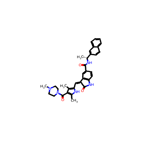 Cc1[nH]c(C=C2C(=O)Nc3ccc(C(=O)N[C@H](C)c4ccc5ccccc5c4)cc32)c(C)c1C(=O)N1CCN(C)CC1